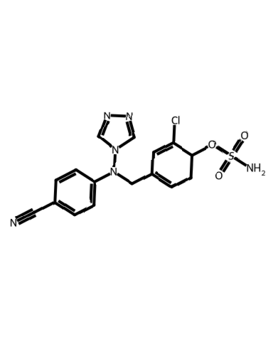 N#Cc1ccc(N(CC2=CCC(OS(N)(=O)=O)C(Cl)=C2)n2cnnc2)cc1